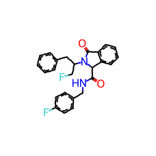 O=C(NCc1ccc(F)cc1)C1c2ccccc2C(=O)N1C(CF)Cc1ccccc1